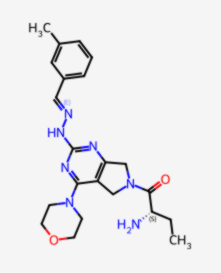 CC[C@H](N)C(=O)N1Cc2nc(N/N=C/c3cccc(C)c3)nc(N3CCOCC3)c2C1